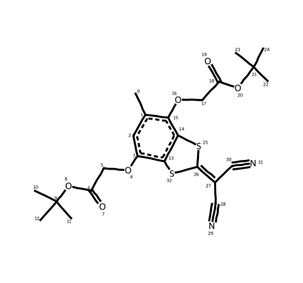 Cc1cc(OCC(=O)OC(C)(C)C)c2c(c1OCC(=O)OC(C)(C)C)SC(=C(C#N)C#N)S2